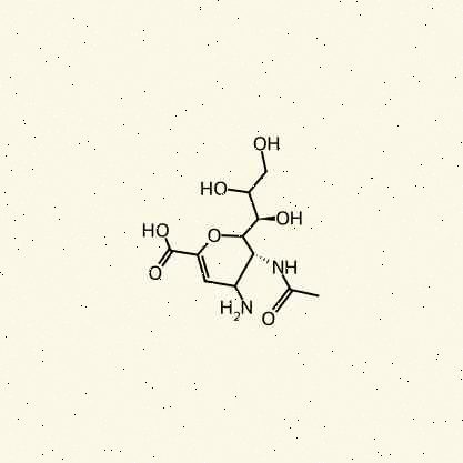 CC(=O)N[C@@H]1C(N)C=C(C(=O)O)OC1[C@H](O)C(O)CO